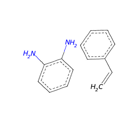 C=Cc1ccccc1.Nc1ccccc1N